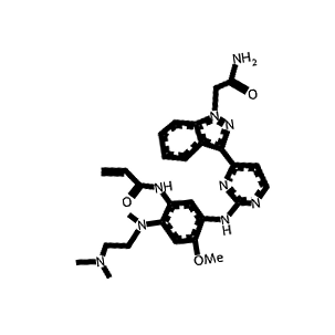 C=CC(=O)Nc1cc(Nc2nccc(-c3nn(CC(N)=O)c4ccccc34)n2)c(OC)cc1N(C)CCN(C)C